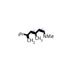 C=C(/C=C(C)/C=C\NC)C(C)C